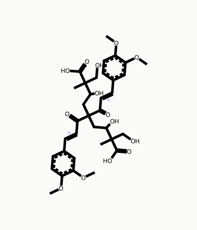 COc1ccc(/C=C/C(=O)C(CC(O)C(C)(CO)C(=O)O)(CC(O)C(C)(CO)C(=O)O)C(=O)/C=C/c2ccc(OC)c(OC)c2)cc1OC